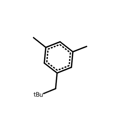 Cc1cc(C)cc(CC(C)(C)C)c1